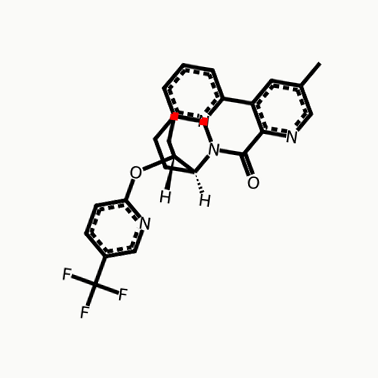 Cc1cnc(C(=O)N2CC3CC[C@H]2[C@H](Oc2ccc(C(F)(F)F)cn2)C3)c(-c2ccccn2)c1